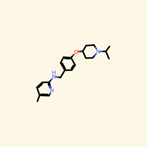 Cc1ccc(NCc2ccc(OC3CCN(C(C)C)CC3)cc2)nc1